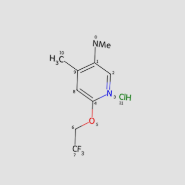 CNc1cnc(OCC(F)(F)F)cc1C.Cl